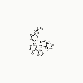 O=c1ccn(-c2ccc(OC(F)(F)F)cc2)nc1C1CC=NN1c1cncc2ccccc12